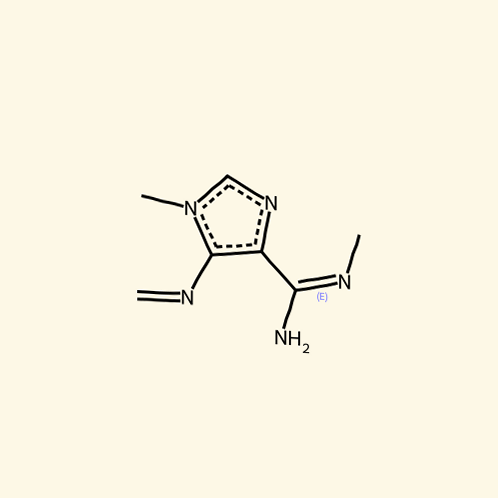 C=Nc1c(/C(N)=N\C)ncn1C